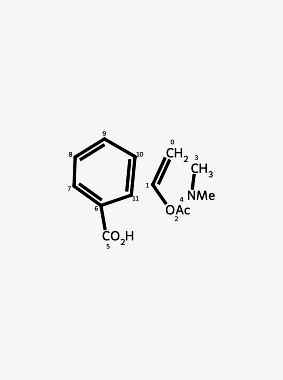 C=COC(C)=O.CNC.O=C(O)c1ccccc1